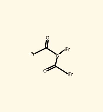 CC(C)C(=O)N(C(=O)C(C)C)C(C)C